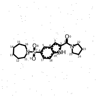 O=C(c1cc2cc(S(=O)(=O)N3CCCCCC3)ccc2[nH]1)N1CCCC1